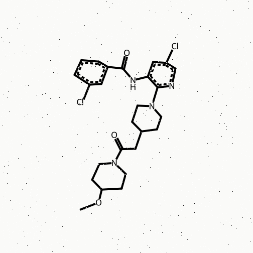 COC1CCN(C(=O)CC2CCN(c3ncc(Cl)cc3NC(=O)c3cccc(Cl)c3)CC2)CC1